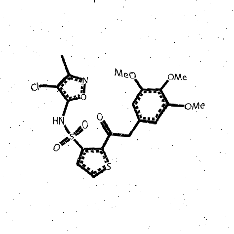 COc1cc(CC(=O)c2sccc2S(=O)(=O)Nc2onc(C)c2Cl)cc(OC)c1OC